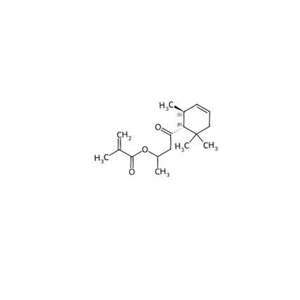 C=C(C)C(=O)OC(C)CC(=O)[C@@H]1[C@@H](C)C=CCC1(C)C